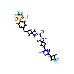 N=S(=O)(c1ccc(CC2CC3(C2)CN(C(=O)N2CC4(CC(c5nc(C6CC(F)(F)C6)n[nH]5)C4)C2)C3)cc1)C(F)(F)F